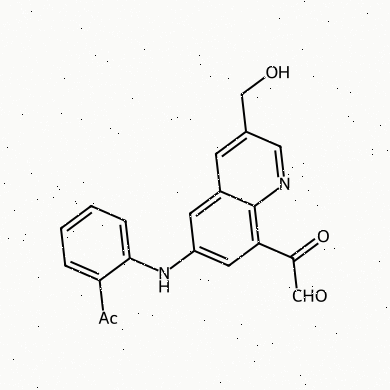 CC(=O)c1ccccc1Nc1cc(C(=O)C=O)c2ncc(CO)cc2c1